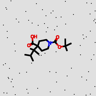 CC(C)C(C)(C)C1(C(=O)O)CCN(C(=O)OC(C)(C)C)CC1